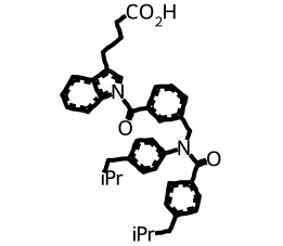 CC(C)Cc1ccc(C(=O)N(Cc2cccc(C(=O)n3cc(CCCC(=O)O)c4ccccc43)c2)c2ccc(CC(C)C)cc2)cc1